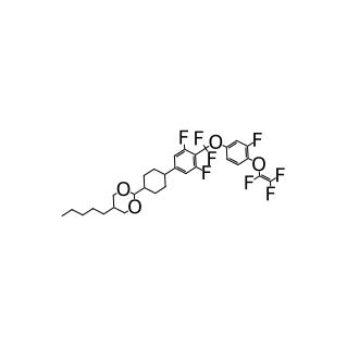 CCCCCC1COC(C2CCC(c3cc(F)c(C(F)(F)Oc4ccc(OC(F)=C(F)F)c(F)c4)c(F)c3)CC2)OC1